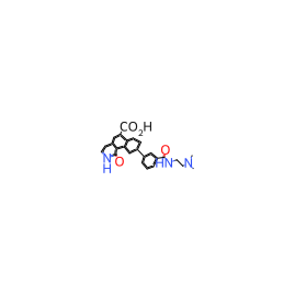 CN(C)CCNC(=O)c1cccc(-c2ccc3c(C(=O)O)cc4cc[nH]c(=O)c4c3c2)c1